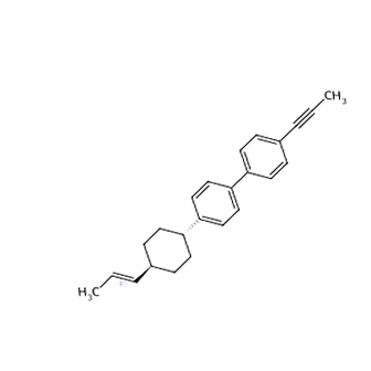 CC#Cc1ccc(-c2ccc([C@H]3CC[C@H](/C=C/C)CC3)cc2)cc1